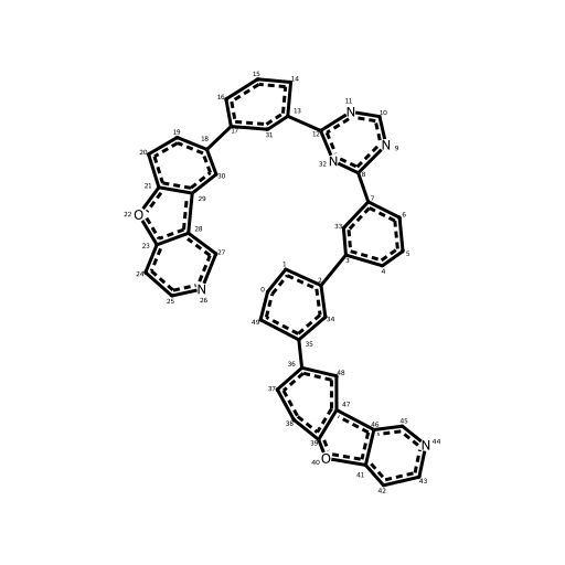 c1cc(-c2cccc(-c3ncnc(-c4cccc(-c5ccc6oc7ccncc7c6c5)c4)n3)c2)cc(-c2ccc3oc4ccncc4c3c2)c1